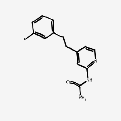 NC(=O)Nc1cc(CCc2cccc(F)c2)ccn1